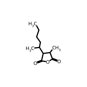 CCCCC(C)C1C(=O)OC(=O)C1C